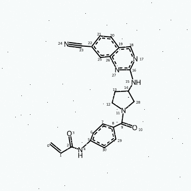 C=CC(=O)Nc1ccc(C(=O)N2CCC(Nc3ncc4ccc(C#N)cc4n3)C2)cc1